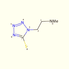 CNCCn1nnnc1[S]